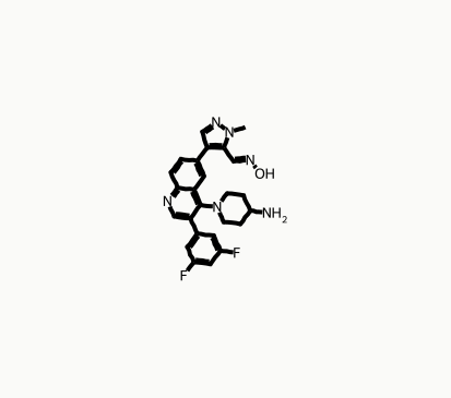 Cn1ncc(-c2ccc3ncc(-c4cc(F)cc(F)c4)c(N4CCC(N)CC4)c3c2)c1C=NO